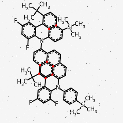 CC(C)(C)c1ccccc1-c1cc(F)cc(F)c1N(c1ccc([Si](C)(C)C)cc1)c1ccc2ccc3c(N(c4ccc([Si](C)(C)C)cc4)c4c(F)cc(F)cc4-c4ccccc4C(C)(C)C)ccc4ccc1c2c43